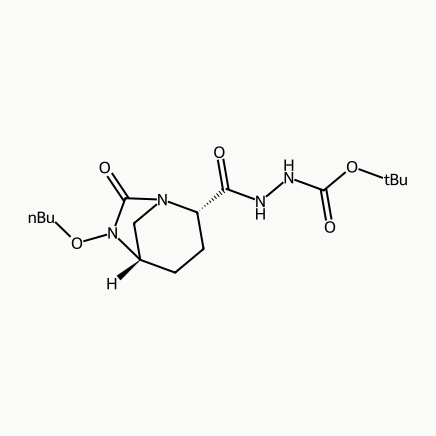 CCCCON1C(=O)N2C[C@@H]1CC[C@H]2C(=O)NNC(=O)OC(C)(C)C